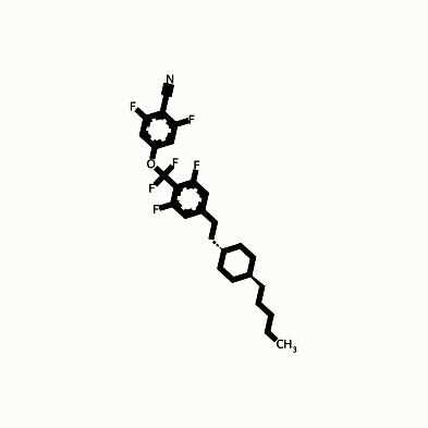 CCCCC[C@H]1CC[C@H](CCc2cc(F)c(C(F)(F)Oc3cc(F)c(C#N)c(F)c3)c(F)c2)CC1